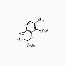 CO[C@@H](C)Cc1c(O)ccc(C)c1S(=O)(=O)O